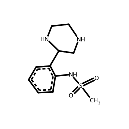 CS(=O)(=O)Nc1ccccc1C1CNCCN1